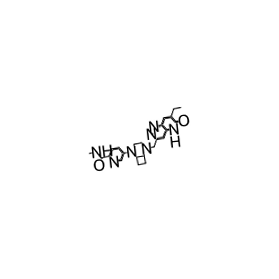 CCc1cc2nnc(CN3CCN(c4ccc(C(=O)NC)nc4)C4CCC43)cc2[nH]c1=O